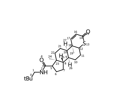 CC(C)(C)CNC(=O)C1CC[C@H]2[C@@H]3CCC4SC(=O)C=C[C@]4(C)[C@@H]3CC[C@]12C